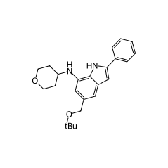 CC(C)(C)OCc1cc(NC2CCOCC2)c2[nH]c(-c3ccccc3)cc2c1